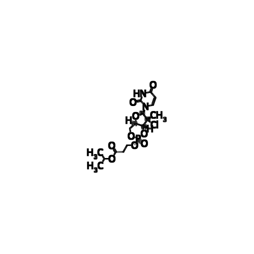 CC(C)OC(=O)CCO[P@]1(=O)OC[C@H]2O[C@@H](n3ccc(=O)[nH]c3=O)[C@](C)(Cl)[C@@H]2O1